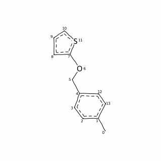 Cc1ccc(COc2cccs2)cc1